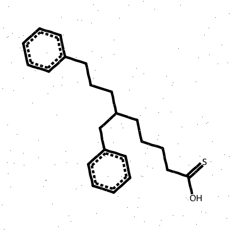 OC(=S)CCCCC(CCCc1ccccc1)Cc1ccccc1